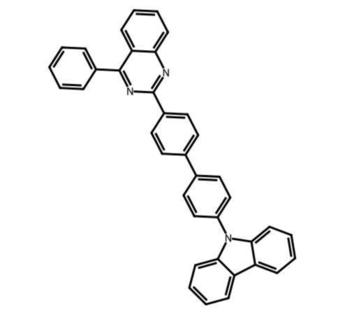 c1ccc(-c2nc(-c3ccc(-c4ccc(-n5c6ccccc6c6ccccc65)cc4)cc3)nc3ccccc23)cc1